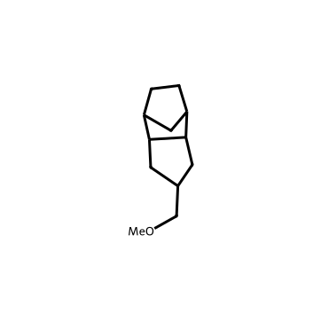 COCC1CC2C3CCC(C3)C2C1